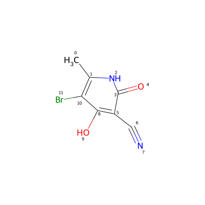 Cc1[nH]c(=O)c(C#N)c(O)c1Br